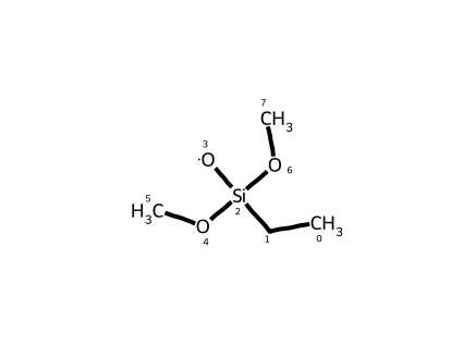 CC[Si]([O])(OC)OC